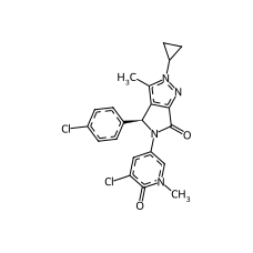 Cc1c2c(nn1C1CC1)C(=O)N(c1cc(Cl)c(=O)n(C)c1)[C@H]2c1ccc(Cl)cc1